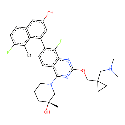 CCc1c(F)ccc2cc(O)cc(-c3ccc4c(N5CCC[C@@](C)(O)C5)nc(OCC5(CN(C)C)CC5)nc4c3F)c12